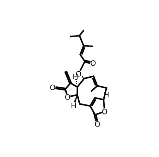 C=C1C(=O)O[C@H]2CC3=C[C@@H](C/C(C)=C/[C@@H](OC(=O)/C=C(\C)C(C)C)[C@H]12)OC3=O